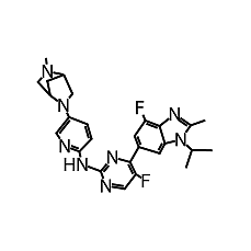 Cc1nc2c(F)cc(-c3nc(Nc4ccc(N5CC6CC5CN6C)cn4)ncc3F)cc2n1C(C)C